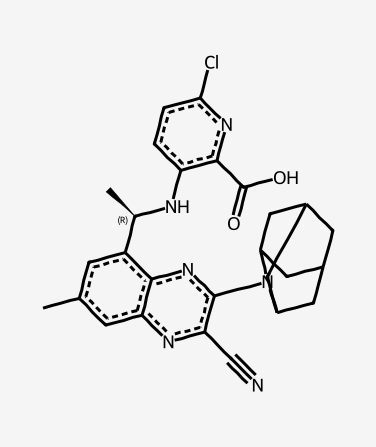 Cc1cc([C@@H](C)Nc2ccc(Cl)nc2C(=O)O)c2nc(N3C4CC5CC(C4)CC3C5)c(C#N)nc2c1